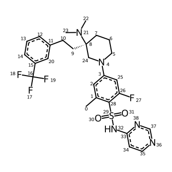 Cc1cc(N2CCC[C@](CCc3cccc(C(F)(F)F)c3)(N(C)C)C2)cc(F)c1S(=O)(=O)Nc1ccncn1